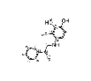 O=C(CNc1ccc(O)c(O)c1F)c1ccccc1